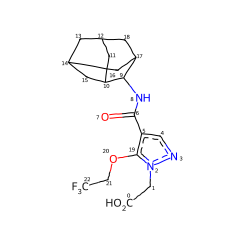 O=C(O)Cn1ncc(C(=O)NC2C3CC4CC(C3)CC2C4)c1OCC(F)(F)F